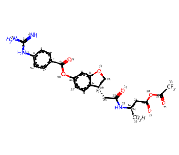 N=C(N)Nc1ccc(C(=O)Oc2ccc3c(c2)OC[C@@H]3CC(=O)N[C@@H](CC(=O)OC(=O)C(F)(F)F)C(=O)O)cc1